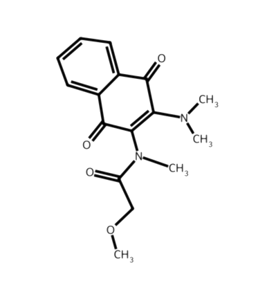 COCC(=O)N(C)C1=C(N(C)C)C(=O)c2ccccc2C1=O